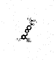 CCCCNc1cc(C(F)(F)F)ccc1CN1CCC2(CCN(C(=O)OC(C(F)(F)F)C(F)(F)F)CC2)C1